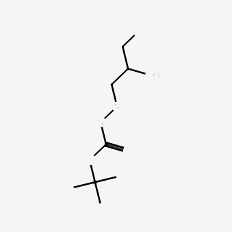 CC(C)(C)OC(=O)NNCC(O)CO